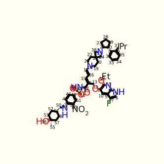 CCOc1nc2[nH]cc(F)c2cc1OC/C(=C\C=C\N1CCC2(CC1)CN([C@@H]1CCC[C@@H]1c1ccccc1C(C)C)C2)C(=O)NS(=O)(=O)c1ccc(NC[C@H]2CC[C@](C)(O)CC2)c([N+](=O)[O-])c1